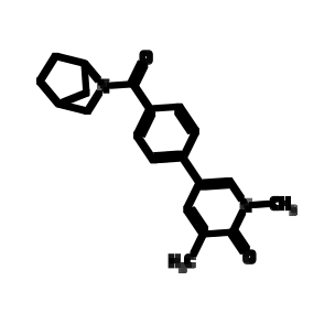 Cc1cc(-c2ccc(C(=O)N3CC4CCC3C4)cc2)cn(C)c1=O